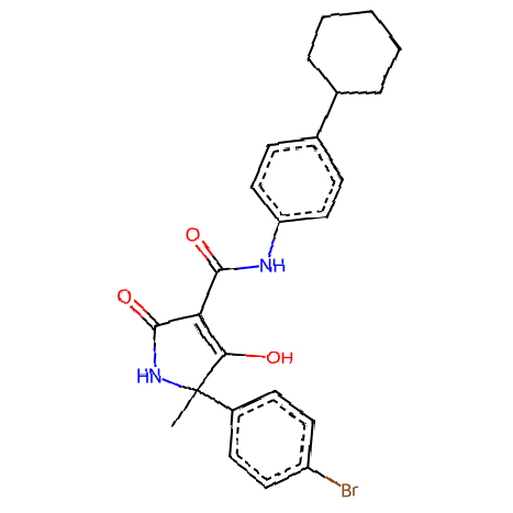 CC1(c2ccc(Br)cc2)NC(=O)C(C(=O)Nc2ccc(C3CCCCC3)cc2)=C1O